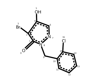 O=c1c(Br)c(O)cnn1Cc1ccccc1Cl